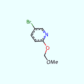 COCOc1ccc(Br)cn1